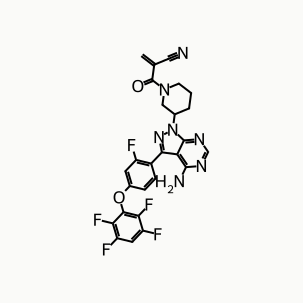 C=C(C#N)C(=O)N1CCCC(n2nc(-c3ccc(Oc4c(F)c(F)cc(F)c4F)cc3F)c3c(N)ncnc32)C1